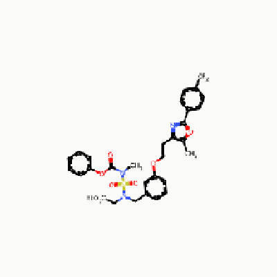 CCOC(=O)CN(Cc1cccc(OCCc2nc(-c3ccc(C(F)(F)F)cc3)oc2C)c1)S(=O)(=O)N(C)C(=O)Oc1ccccc1